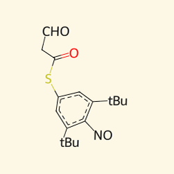 CC(C)(C)c1cc(SC(=O)CC=O)cc(C(C)(C)C)c1N=O